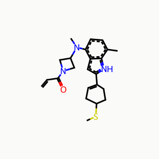 C=CC(=O)N1CC(N(C)c2ccc(C)c3[nH]c(C4=CCC(SC)CC4)cc23)C1